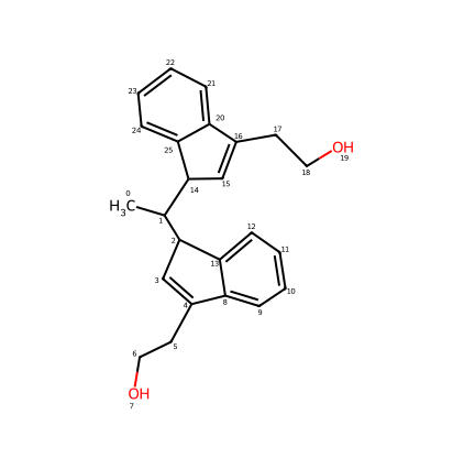 CC(C1C=C(CCO)c2ccccc21)C1C=C(CCO)c2ccccc21